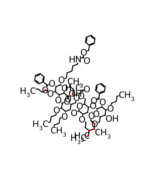 CCCCOCC1O[C@@H](O[C@@H]2C(COC(C)=O)O[C@H](O[C@H]3C(COCCCC)O[C@H](O[C@@H]4C(C(=O)O)O[C@@H](OCCCCCNC(=O)OCc5ccccc5)[C@@H](OC(=O)c5ccccc5)C4OCCCC)C(OCCCC)[C@H]3OCCCC)C(OCCCC)[C@H]2OCCCC)[C@@H](OC(=O)c2ccccc2)C(OCCCC)[C@@H]1O